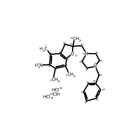 Cc1c(C)c2c(c(C)c1N)CC(C)(CN1CCN(Cc3ccccc3)CC1)O2.Cl.Cl.Cl